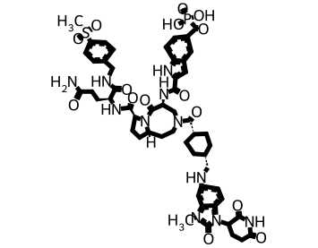 Cn1c(=O)n(C2CCC(=O)NC2=O)c2ccc(NC[C@H]3CC[C@@H](C(=O)N4CC[C@H]5CC[C@@H](C(=O)N[C@@H](CCC(N)=O)C(=O)NCc6ccc(S(C)(=O)=O)cc6)N5C(=O)[C@@H](NC(=O)c5cc6cc(C(=O)P(=O)(O)O)ccc6[nH]5)C4)CC3)cc21